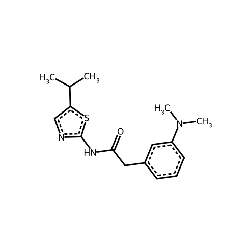 CC(C)c1cnc(NC(=O)Cc2cccc(N(C)C)c2)s1